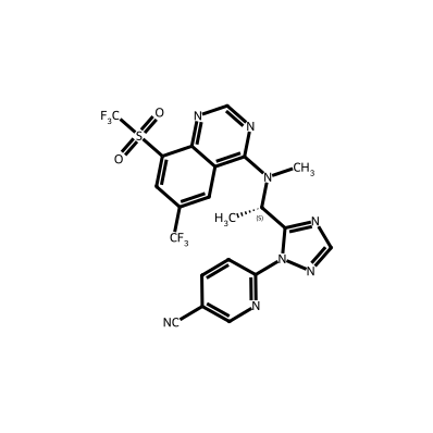 C[C@@H](c1ncnn1-c1ccc(C#N)cn1)N(C)c1ncnc2c(S(=O)(=O)C(F)(F)F)cc(C(F)(F)F)cc12